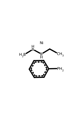 BBBCC.Pc1ccccc1.[Ni]